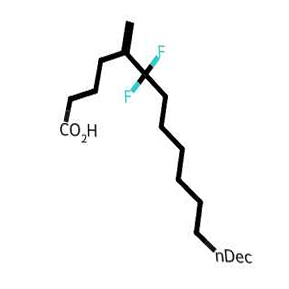 C=C(CCCC(=O)O)C(F)(F)CCCCCCCCCCCCCCCC